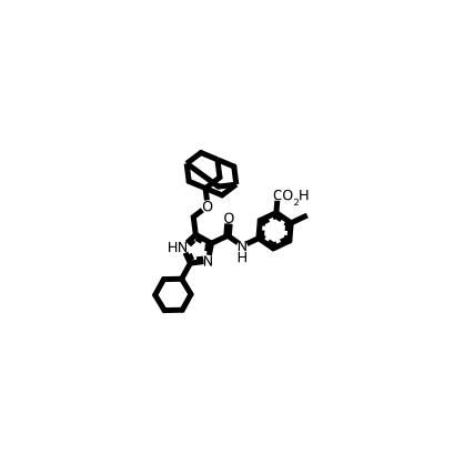 Cc1ccc(NC(=O)c2nc(C3CCCCC3)[nH]c2COC23CC4CC(CC(C4)C2)C3)cc1C(=O)O